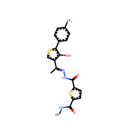 CCCNC(=O)c1ccc(C(=O)NN=C(C)c2csc(-c3ccc(C(F)(F)F)cc3)c2O)s1